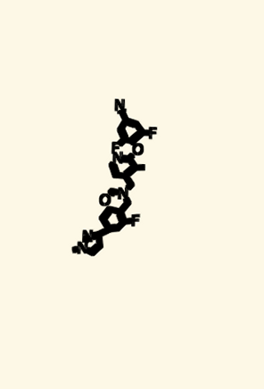 Cc1c(CN(C=O)Cc2ccc(-c3ccn(C)n3)cc2F)ccnc1Oc1c(F)cc(C#N)cc1F